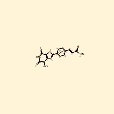 CCCn1c(=O)[nH]c(=O)c2[nH]c(C34CCC(/C=C/C(=O)OC)(CC3)CC4)nc21